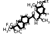 CCNc1cc(F)c([C@@H](C)NC(=O)c2ccc3nc(C(C)(C)C(F)(F)F)ccc3c2)cc1C